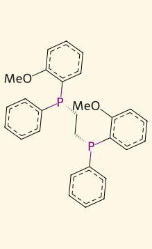 COc1ccccc1[P@](CC[P@@](c1ccccc1)c1ccccc1OC)c1ccccc1